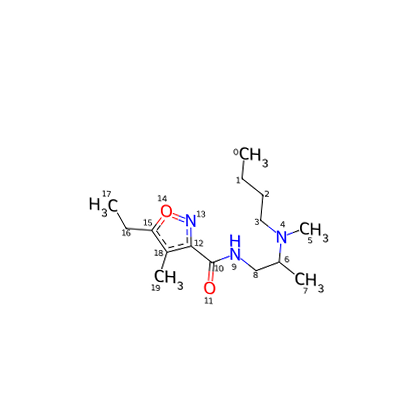 CCCCN(C)C(C)CNC(=O)c1noc(CC)c1C